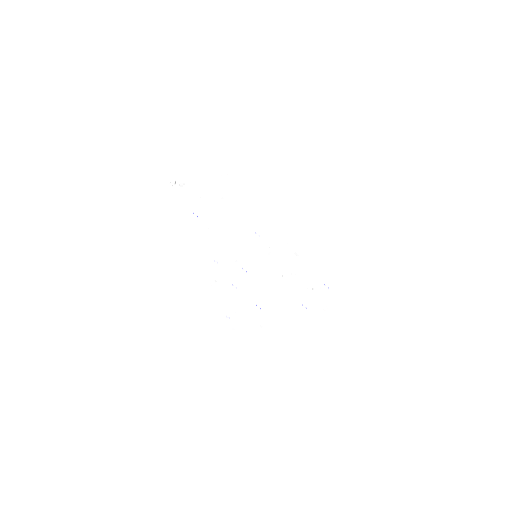 CCOc1cc(C(Nc2ccc(-c3noc(C)n3)cc2)c2nn(-c3ncccn3)c(=O)[nH]2)cnc1OC